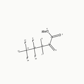 C=C(C(=O)OC)C(C)(C)C(F)(F)C(C)(F)F